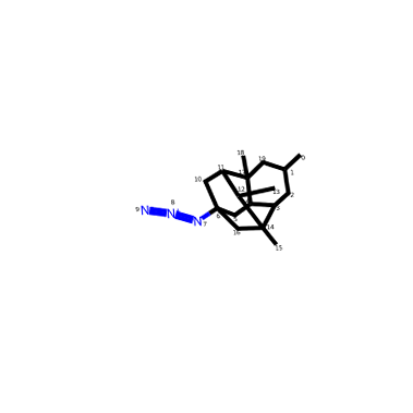 CC1CC2C3CC4(N=[N+]=[N-])CC(C(C)C2(C)C4)C3(C)C1